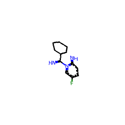 N=C(C1CCCCC1)n1cc(F)ccc1=N